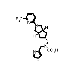 O=C(O)N(Cc1cscn1)C[C@@H]1C[C@@H]2CN(c3cccc(C(F)(F)F)n3)C[C@@H]2C1